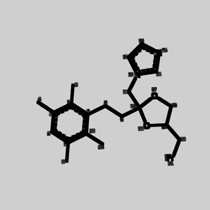 Cc1cc(C)c(C)c(CCC2(Cn3ccnc3)OCC(CC(C)C)O2)c1C